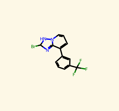 FC(F)(F)c1cccc(C2=CC=CN3NC(Br)N=C23)c1